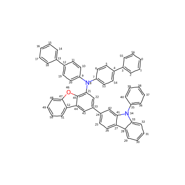 c1ccc(-c2ccc(N(c3ccc(-c4ccccc4)cc3)c3cc(-c4ccc5c6ccccc6n(-c6ccccc6)c5c4)cc4c3oc3ccccc34)cc2)cc1